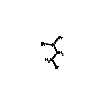 CC(C)N([SiH2][SiH2]Br)C(C)C